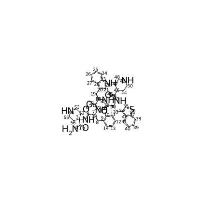 NC(=O)C1(NC(=O)[C@H](Cc2ccccc2)NC(=O)[C@@H](Cc2c[nH]c3ccccc23)NC(=O)[C@@H](Cc2csc3ccccc23)NC(=O)C2CCNCC2)CCNCC1